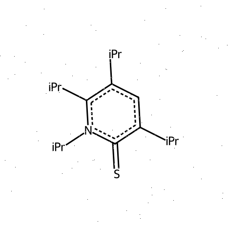 CC(C)c1cc(C(C)C)c(=S)n(C(C)C)c1C(C)C